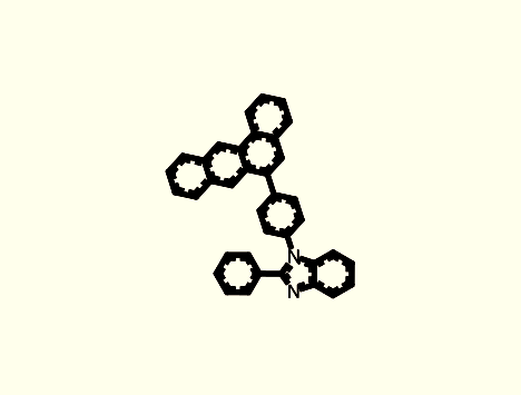 c1ccc(-c2nc3ccccc3n2-c2ccc(-c3cc4ccccc4c4cc5ccccc5cc34)cc2)cc1